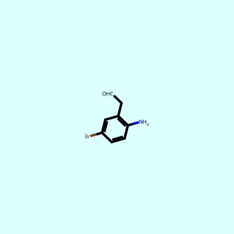 Nc1ccc(Br)cc1CC=O